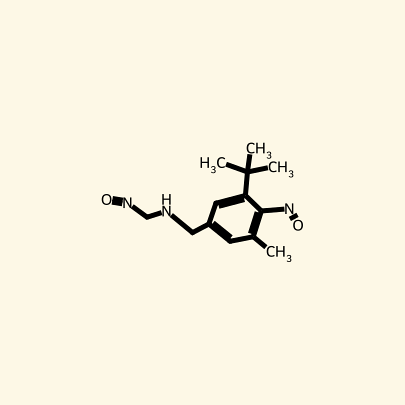 Cc1cc(CNCN=O)cc(C(C)(C)C)c1N=O